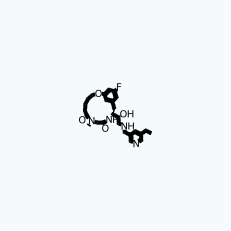 CCc1cncc(CNC[C@@H](O)[C@@H]2Cc3cc(F)cc(c3)OCCCCC(=O)N(C)CC(=O)N2)c1